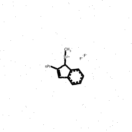 CCCC1=Cc2ccccc2[CH]1[Zr+2][CH3].[F-].[F-]